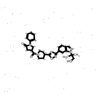 CC(C)(CO)n1ncc2ccc(-c3noc(C4CCN(C(=O)C5CC(=O)N(c6ccccc6)C5)CC4)n3)cc21